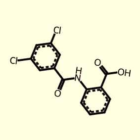 O=C(Nc1ccccc1C(=O)O)c1cc(Cl)cc(Cl)c1